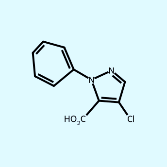 O=C(O)c1c(Cl)cnn1-c1ccccc1